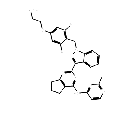 COCCOc1cc(F)c(Cn2nc(-c3nc4c(c(Nc5ccnc(C)n5)n3)CCC4)c3ccccc32)c(F)c1